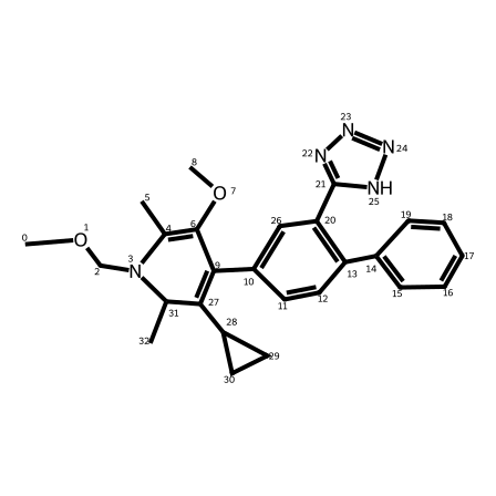 COCN1C(C)=C(OC)C(c2ccc(-c3ccccc3)c(-c3nnn[nH]3)c2)=C(C2CC2)C1C